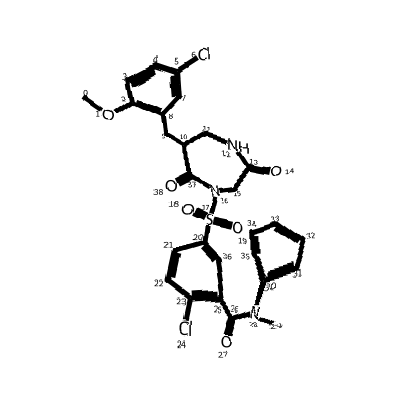 COc1ccc(Cl)cc1CC1CNC(=O)CN(S(=O)(=O)c2ccc(Cl)c(C(=O)N(C)c3ccccc3)c2)C1=O